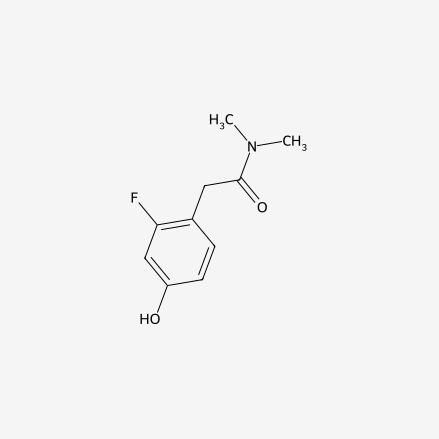 CN(C)C(=O)Cc1ccc(O)cc1F